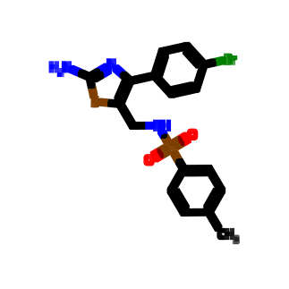 Cc1ccc(S(=O)(=O)NCc2sc(N)nc2-c2ccc(Br)cc2)cc1